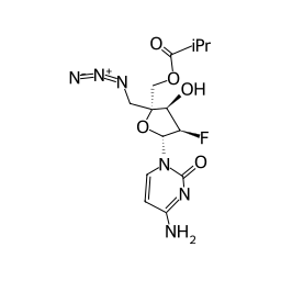 CC(C)C(=O)OC[C@@]1(CN=[N+]=[N-])O[C@@H](n2ccc(N)nc2=O)[C@H](F)[C@@H]1O